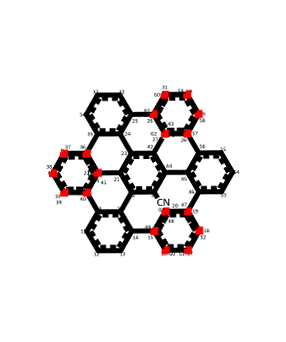 N#Cc1c(-c2c(-c3ccccn3)cccc2-c2ccccn2)c(C#N)c(-c2c(-c3ccccn3)cccc2-c2ccccn2)c(C#N)c1-c1c(-c2ccccn2)cccc1-c1ccccn1